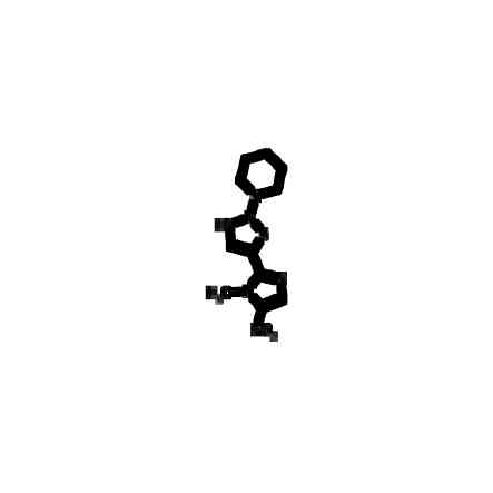 Cn1c([N+](=O)[O-])cnc1C1=CNN(N2CCCCC2)S1